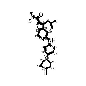 CC(C)Cc1c(C(=O)N(C)C)sc2cnc(Nc3ccc(N4CCNCC4)cn3)cc12